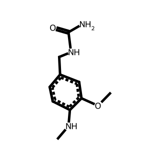 CNc1ccc(CNC(N)=O)cc1OC